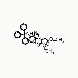 CCOC(=O)CC(C(=O)OCC)n1cnc2c(NC(c3ccccc3)(c3ccccc3)c3ccccc3)ncnc21